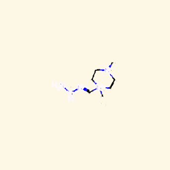 CN1CC[N+](C)(C=NNN)CC1.[Cl-]